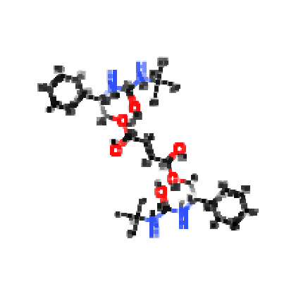 CC(C)(C)NC(=O)N[C@H](COC(=O)/C=C/C(=O)OC[C@@H](NC(=O)NC(C)(C)C)c1ccccc1)c1ccccc1